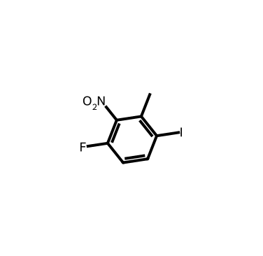 Cc1c(I)ccc(F)c1[N+](=O)[O-]